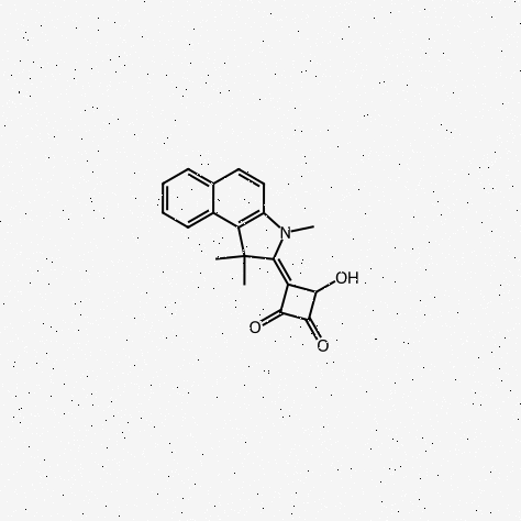 CN1/C(=C2/C(=O)C(=O)C2O)C(C)(C)c2c1ccc1ccccc21